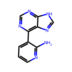 Nc1ncccc1-c1ncnc2[nH]cnc12